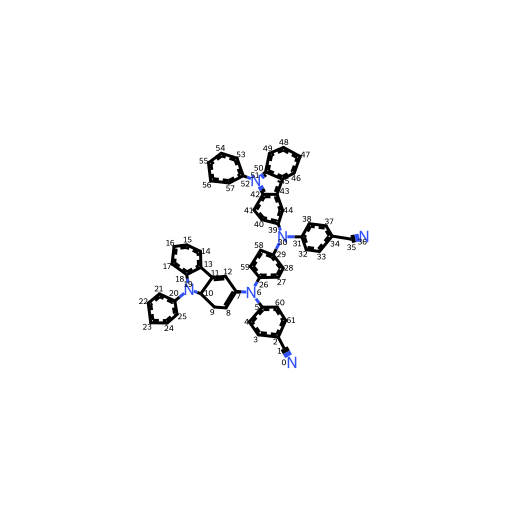 N#Cc1ccc(N(C2=CCC3C(=C2)c2ccccc2N3c2ccccc2)c2ccc(N(c3ccc(C#N)cc3)c3ccc4c(c3)c3ccccc3n4-c3ccccc3)cc2)cc1